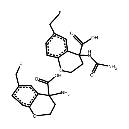 NC(=O)NC1(C(=O)O)CCOc2ccc(CF)cc21.NC1(C(=O)O)CCOc2ccc(CF)cc21